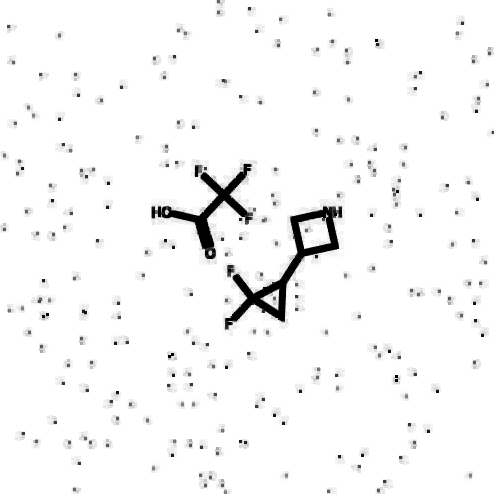 FC1(F)CC1C1CNC1.O=C(O)C(F)(F)F